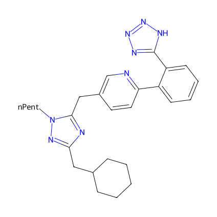 CCCCCn1nc(CC2CCCCC2)nc1Cc1ccc(-c2ccccc2-c2nnn[nH]2)nc1